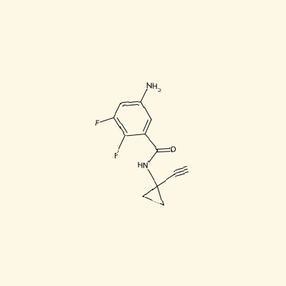 C#CC1(NC(=O)c2cc(N)cc(F)c2F)CC1